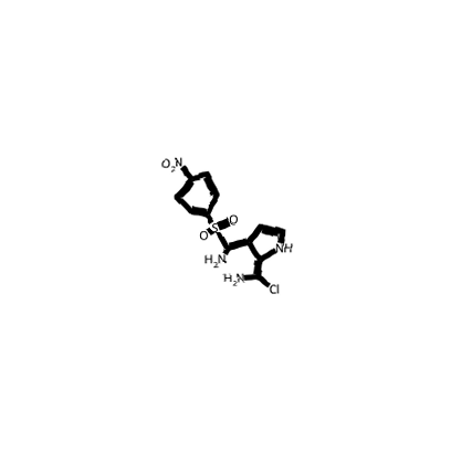 N/C(Cl)=c1/[nH]cc/c1=C(/N)S(=O)(=O)c1ccc([N+](=O)[O-])cc1